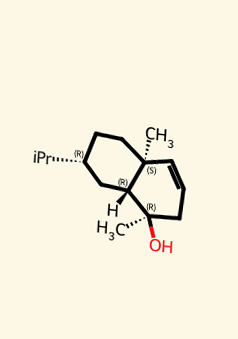 CC(C)[C@@H]1CC[C@@]2(C)C=CC[C@@](C)(O)[C@@H]2C1